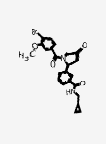 COc1cc(C(=O)N2CC(=O)CC2c2cccc(C(=O)NCC3CC3)c2)ccc1Br